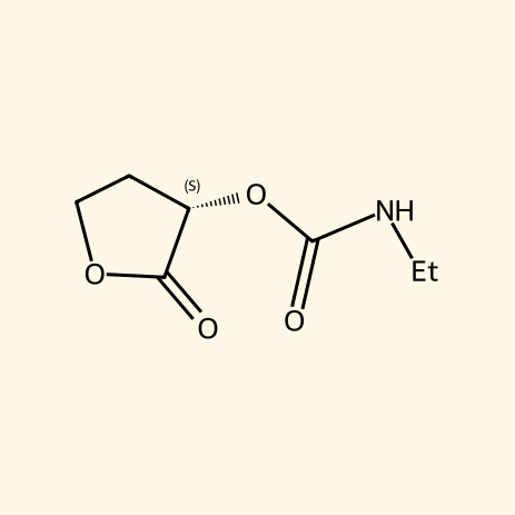 CCNC(=O)O[C@H]1CCOC1=O